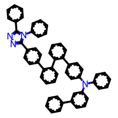 c1ccc(-c2cccc(N(c3ccccc3)c3ccc(-c4ccccc4-c4ccccc4-c4ccc(-c5nnc(-c6ccccc6)n5-c5ccccc5)cc4)cc3)c2)cc1